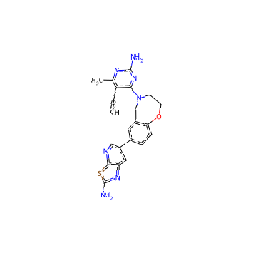 C#Cc1c(C)nc(N)nc1N1CCOc2ccc(-c3cnc4sc(N)nc4c3)cc2C1